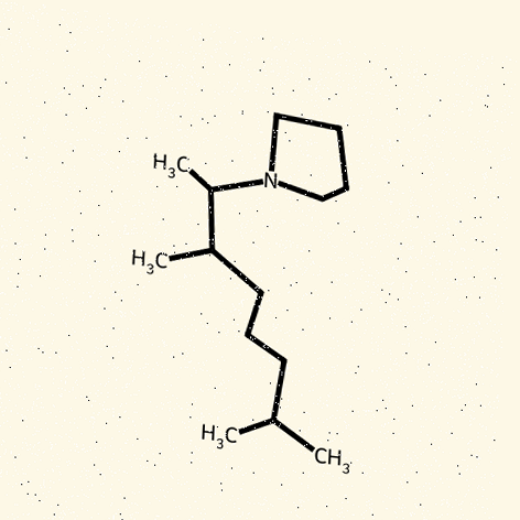 CC(C)CCCC(C)C(C)N1CCCC1